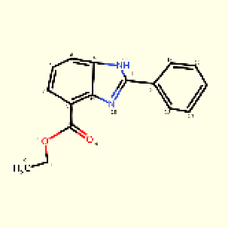 CCOC(=O)c1cccc2[nH]c(-c3ccccc3)nc12